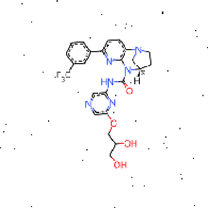 O=C(Nc1cncc(OCC(O)CO)n1)N1c2nc(-c3cccc(C(F)(F)F)c3)ccc2N2CC[C@H]1C2